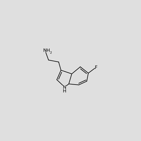 NCCC1=CNC2C=CC(F)=CC12